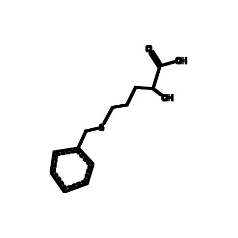 O=C(O)C(O)CCCSCc1ccccc1